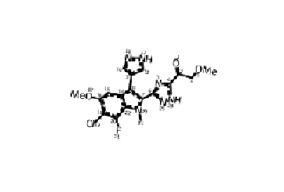 COCC(=O)c1nc(-c2c(-c3cn[nH]c3)c3cc(OC)c(Cl)c(F)c3n2C)n[nH]1